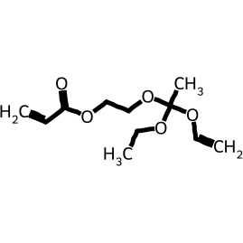 C=COC(C)(OCC)OCCOC(=O)C=C